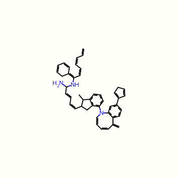 C=C\C=C/C=C\C(NC(N)C=C/C=C\C1Cc2c(cccc2N2/C=C\C=C/C(=C)c3ccc(C4=CCC=C4)cc32)C1C)=C1/C=CC=CC1